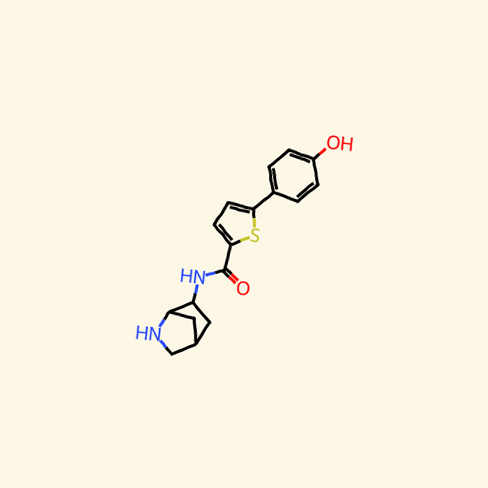 O=C(NC1CC2CNC1C2)c1ccc(-c2ccc(O)cc2)s1